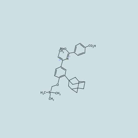 C/C=C(\N=C(/OC)c1ccc(C(=O)O)cc1)c1ccc(OC[Si](C)(C)C)c(C23CC4CC5(CC5C2)C4C3)c1